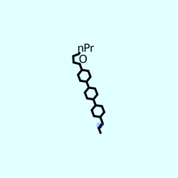 C/C=C/C1CCC(C2CCC(C3CCC(C4CCC(CCC)O4)CC3)CC2)CC1